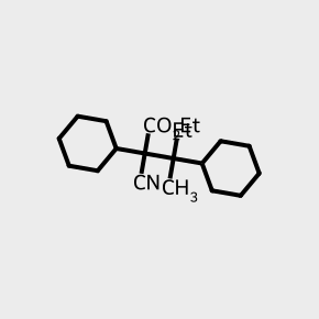 CCOC(=O)C(C#N)(C1CCCCC1)C(C)(CC)C1CCCCC1